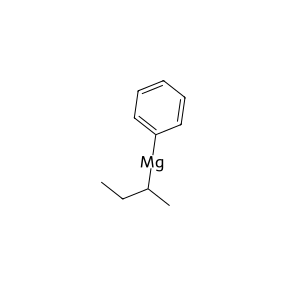 CC[CH](C)[Mg][c]1ccccc1